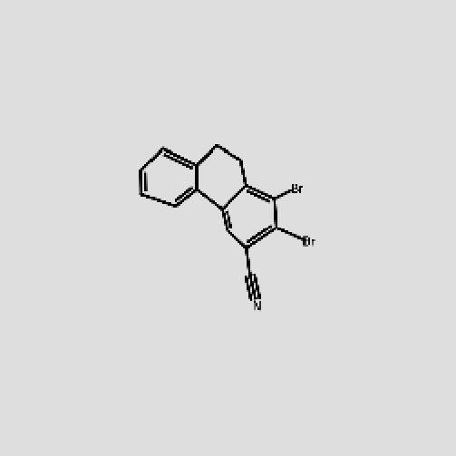 N#Cc1cc2c(c(Br)c1Br)CCc1ccccc1-2